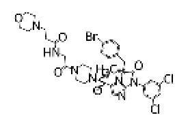 C[C@@]1(Cc2ccc(Br)cc2)C(=O)N(c2cc(Cl)cc(Cl)c2)c2ncc(S(=O)(=O)N3CCN(C(=O)CNC(=O)CCN4CCOCC4)CC3)n21